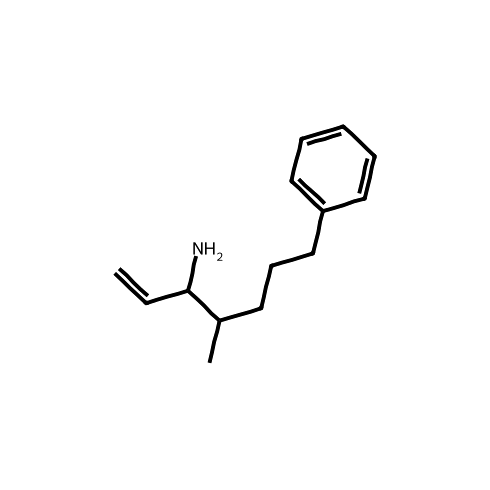 C=CC(N)C(C)CCCc1ccccc1